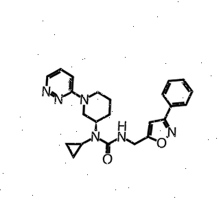 O=C(NCc1cc(-c2ccccc2)no1)N(C1CC1)[C@@H]1CCCN(c2cccnn2)C1